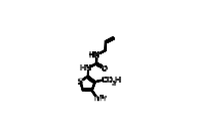 C=CCNC(=O)Nc1scc(CCC)c1C(=O)O